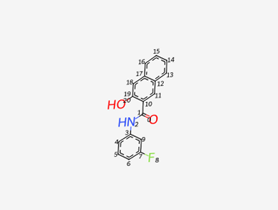 O=C(Nc1cccc(F)c1)c1cc2ccccc2cc1O